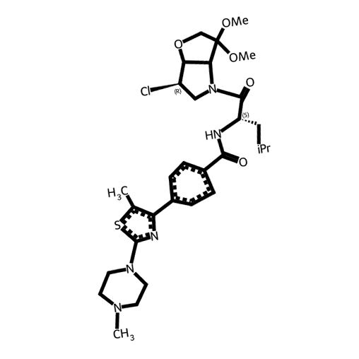 COC1(OC)COC2C1N(C(=O)[C@H](CC(C)C)NC(=O)c1ccc(-c3nc(N4CCN(C)CC4)sc3C)cc1)C[C@H]2Cl